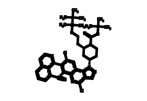 CC(C)(C)OC(=O)N1CC[C@H](n2ncc3c(Cl)nc4c(F)c(-c5nccc6cccc(C#N)c56)c(Cl)cc4c32)C[C@H]1CCO[Si](C)(C)C(C)(C)C